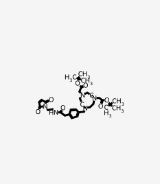 CC(C)(C)OC(=O)CN1CCN(CC(=O)OC(C)(C)C)CCN(Cc2ccc(CC(=O)NCCN3C(=O)C=CC3=O)cc2)CC1